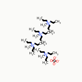 CCC[N+](C)(CCC)CCC.CCC[N+](C)(CCC)CCC.CCC[N+](C)(CCC)CCC.CCC[N+](C)(CCC)CCC.[O-][Si]([O-])([O-])[O-]